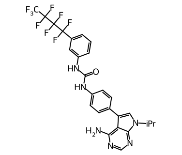 CC(C)n1cc(-c2ccc(NC(=O)Nc3cccc(C(F)(F)C(F)(F)C(F)(F)C(F)(F)F)c3)cc2)c2c(N)ncnc21